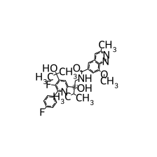 COc1cc(C(=O)NC[C@](O)(c2cc(C(C)(C)O)c(F)c(-c3ccc(F)cc3)n2)C(C)C)cc2cc(C)nnc12